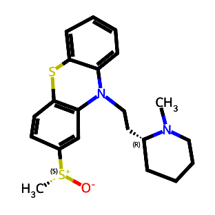 CN1CCCC[C@@H]1CCN1c2ccccc2Sc2ccc([S@@+](C)[O-])cc21